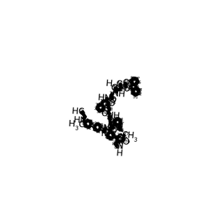 C#CCNC1(C)CCN(C2CCN(c3nc(C(COCNC(=O)CNC(=O)C(Cc4ccccc4)NC(=O)CNC(=O)CN(C)C(=O)OC4c5ccccc5-c5ccccc54)(OC4CC4)c4ccccc4)c4cc(-c5cn(C)c(=O)c6[nH]ccc56)ccc4n3)CC2)CC1